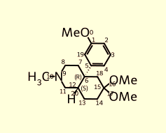 COc1cccc([C@@]23CCN(C)C[C@H]2CCC(OC)(OC)C3)c1